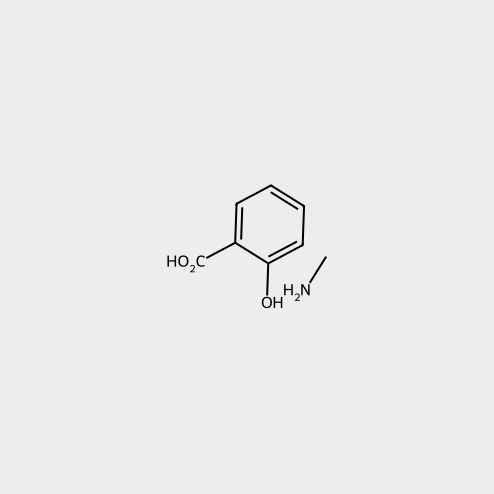 CN.O=C(O)c1ccccc1O